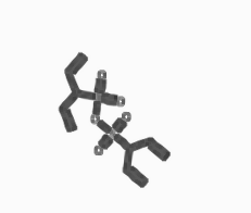 C=CC(C=C)S(=O)(=O)OS(=O)(=O)C(C=C)C=C